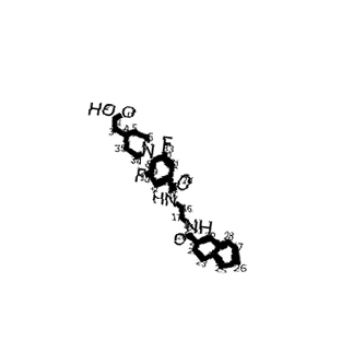 O=C(O)CC1CCN(c2c(F)cc(C(=O)NCCNC(=O)c3ccc4ccccc4c3)cc2F)CC1